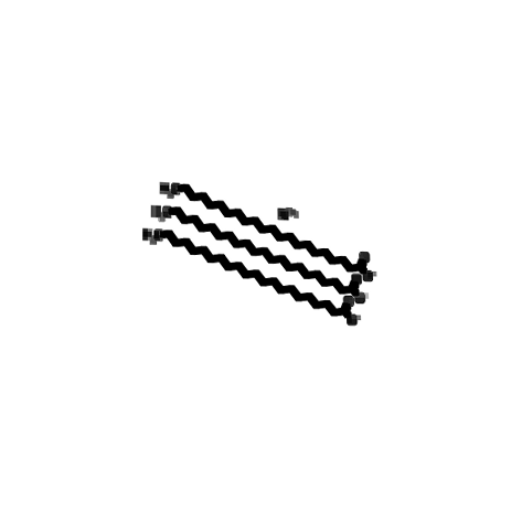 CCCCCCCCCCCCCCCCCCCCCC(=O)[O-].CCCCCCCCCCCCCCCCCCCCCC(=O)[O-].CCCCCCCCCCCCCCCCCCCCCC(=O)[O-].[Bi+3]